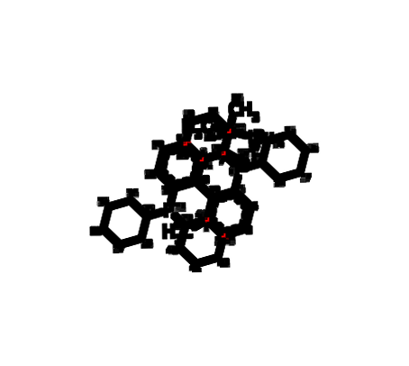 Cc1cccc(P(C2CCCCC2)C2CCCCC2)c1-c1c(C(=O)[Si](C)(C)C(C)(C)C)cccc1P(C1CCCCC1)C1CCCCC1